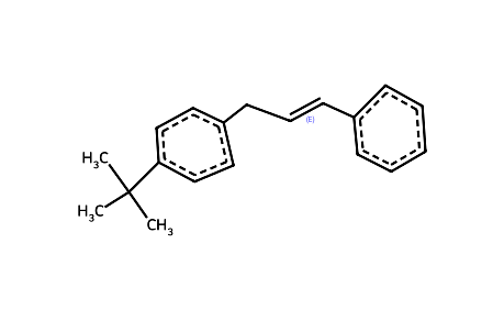 CC(C)(C)c1ccc(C/C=C/c2ccccc2)cc1